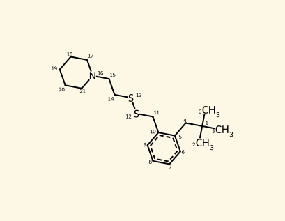 CC(C)(C)Cc1ccccc1CSSCCN1CCCCC1